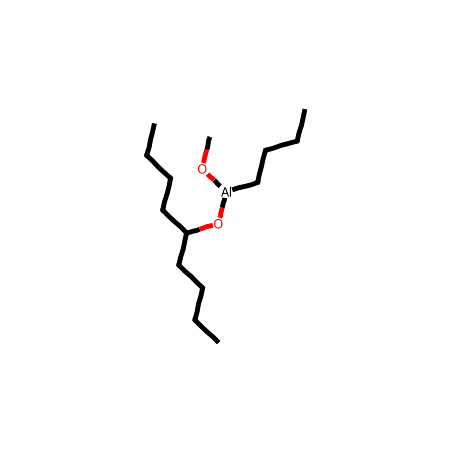 CCCCC(CCCC)[O][Al]([CH2]CCC)[O]C